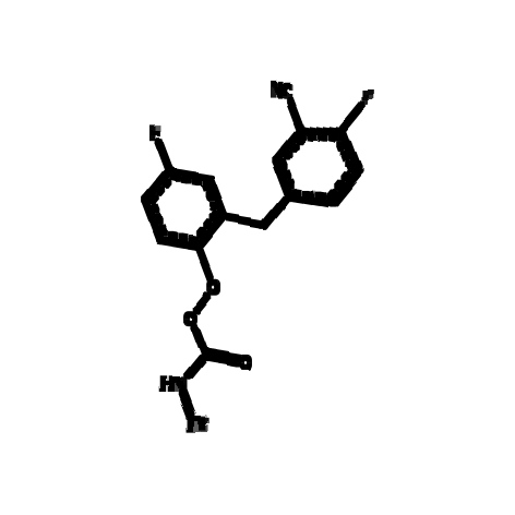 CCNC(=O)OOc1ccc(F)cc1Cc1ccc(F)c(C#N)c1